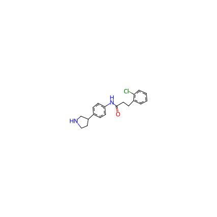 O=C(CCc1ccccc1Cl)Nc1ccc(C2CCNC2)cc1